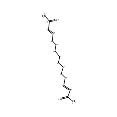 NC(=O)C=CCCCCCCCCC=CC(N)=O